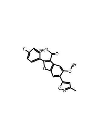 CNC(=O)c1c(-c2ccc(F)cc2)oc2cc(-c3cc(C)no3)c(OC(C)C)cc12